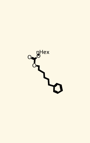 CCCCCCOC(=O)OCCCCCCc1ccccc1